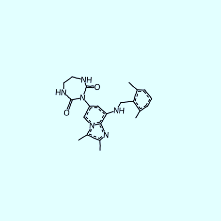 Cc1cccc(C)c1CNc1cc(N2C(=O)NCCNC2=O)cn2c(C)c(C)nc12